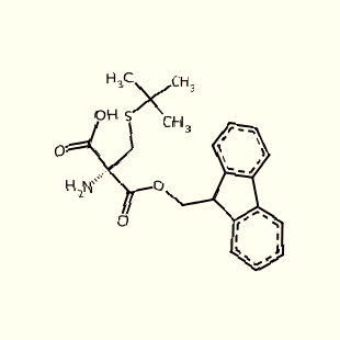 CC(C)(C)SC[C@](N)(C(=O)O)C(=O)OCC1c2ccccc2-c2ccccc21